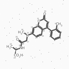 Cc1ccccc1-c1cc(=O)oc2cc(N(C)CC(=O)N[C@H](C)C(=O)O)ccc12